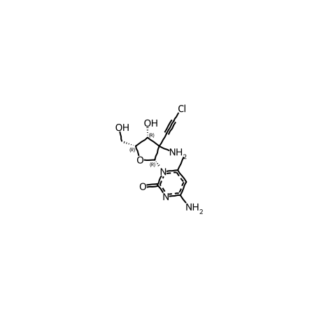 Cc1cc(N)nc(=O)n1[C@@H]1O[C@H](CO)[C@H](O)C1(N)C#CCl